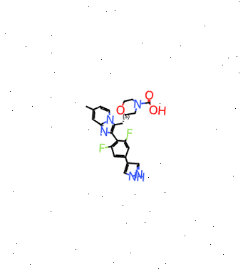 Cc1ccn2c(C[C@H]3CN(C(=O)O)CCO3)c(-c3c(F)cc(-c4cn[nH]c4)cc3F)nc2c1